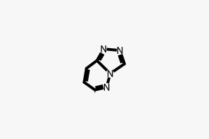 [c]1ccc2nncn2n1